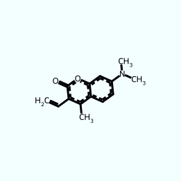 C=Cc1c(C)c2ccc(N(C)C)cc2oc1=O